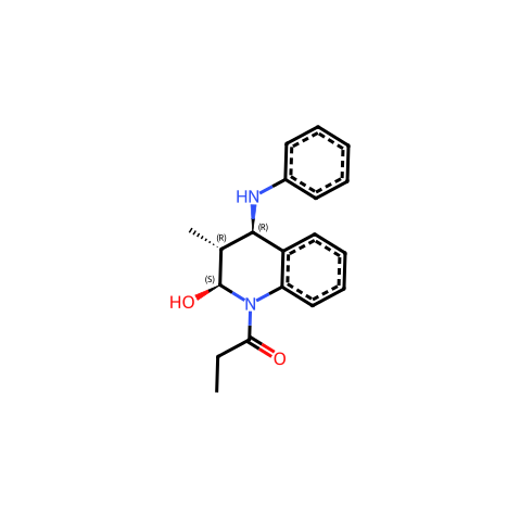 CCC(=O)N1c2ccccc2[C@H](Nc2ccccc2)[C@@H](C)[C@@H]1O